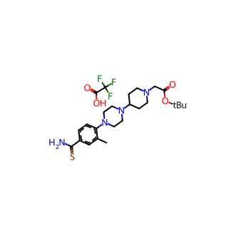 Cc1cc(C(N)=S)ccc1N1CCN(C2CCN(CC(=O)OC(C)(C)C)CC2)CC1.O=C(O)C(F)(F)F